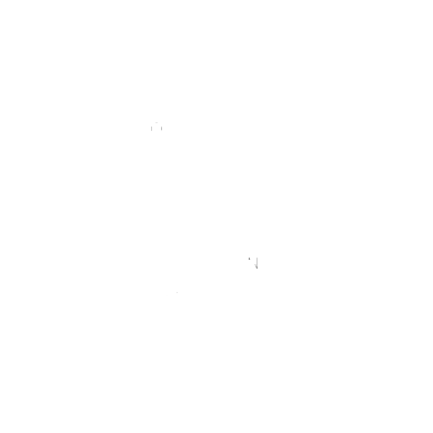 CN1CCOC(CCC=O)C1